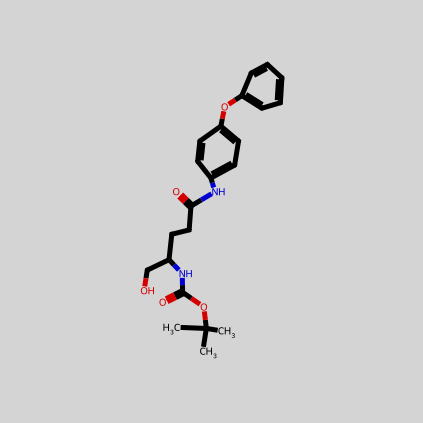 CC(C)(C)OC(=O)NC(CO)CCC(=O)Nc1ccc(Oc2ccccc2)cc1